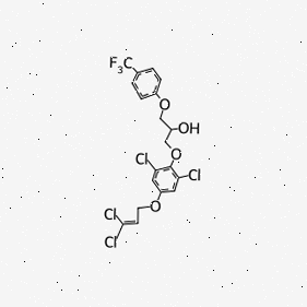 OC(COc1ccc(C(F)(F)F)cc1)COc1c(Cl)cc(OCC=C(Cl)Cl)cc1Cl